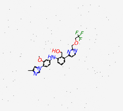 COc1cc(Nc2cccc(-c3ccnc(COCC(F)(F)F)n3)c2CO)ccc1-n1cnc(C)c1